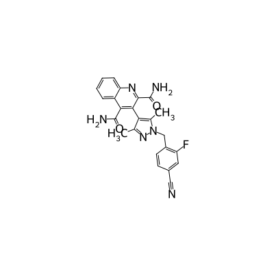 Cc1nn(Cc2ccc(C#N)cc2F)c(C)c1-c1c(C(N)=O)nc2ccccc2c1C(N)=O